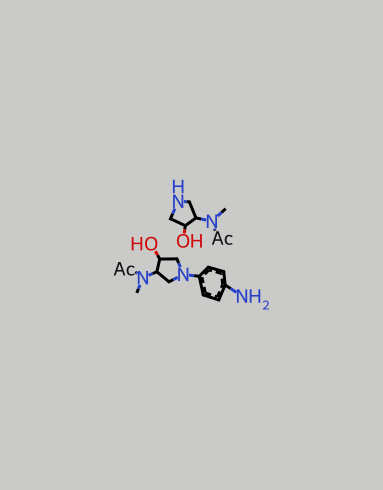 CC(=O)N(C)C1CN(c2ccc(N)cc2)CC1O.CC(=O)N(C)C1CNCC1O